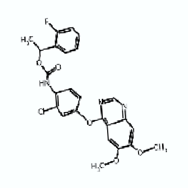 COc1cc2ncnc(Oc3ccc(NC(=O)OC(C)c4ccccc4F)c(Cl)c3)c2cc1OC